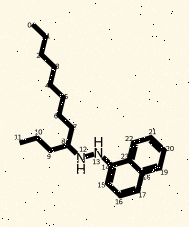 CCCCCCCCC(CCC)NNc1cccc2ccccc12